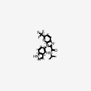 CC(C)NC(=O)c1nc2ccc(C(F)(F)F)nc2n1-c1ccc2[nH]ncc2c1